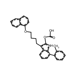 Cc1ccccc1-c1cccc2c(CCCCOc3cccc4ccccc34)c(OC(=O)O)[nH]c12